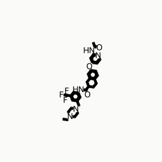 CCN1CCN(Cc2cc(NC(=O)C3CCc4ccc(Oc5ccnc(NC(C)=O)c5)cc4C3)cc(C(F)(F)F)c2)CC1